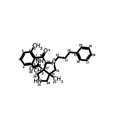 Cc1cccc(C)c1C(=O)[C@H]1N(CC[CH]c2ccccc2)CC2(C)CNC[C@]12C(N)=O